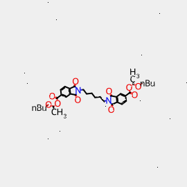 CCCCOC(C)OC(=O)c1ccc2c(c1)C(=O)N(CCCCCCN1C(=O)c3ccc(C(=O)OC(C)OCCCC)cc3C1=O)C2=O